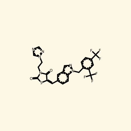 O=C1SC(=Cc2ccc3c(cnn3Cc3ccc(C(F)(F)F)cc3C(F)(F)F)c2)C(=O)N1CCn1cncn1